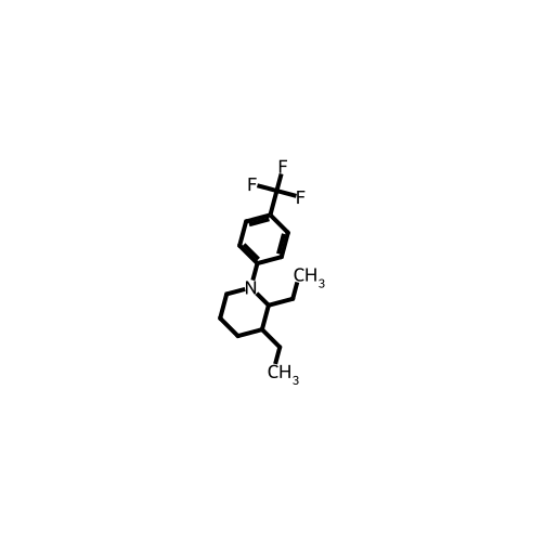 CCC1CCCN(c2ccc(C(F)(F)F)cc2)C1CC